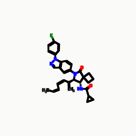 C=C(/C=C\C=C/C)[C@@H]1[C@@H](NC(=O)C2CC2)C2(CCC2)C(=O)N1c1ccc2c(cnn2-c2ccc(F)cc2)c1